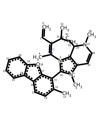 C=C/C(=C(\C)n1c2c([n+](C)c1-c1c(C)ccc3c1oc1ccccc13)C=CN(C)C2C)C(C)C